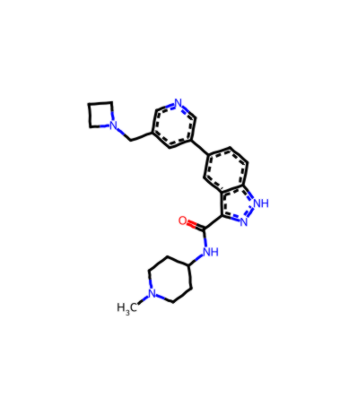 CN1CCC(NC(=O)c2n[nH]c3ccc(-c4cncc(CN5CCC5)c4)cc23)CC1